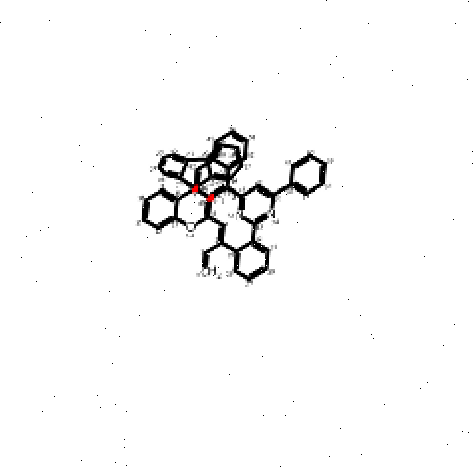 C=C/C(=C\C1=C(C)C2(c3ccccc3O1)c1ccccc1-c1ccccc12)c1ccccc1-c1nc(-c2ccccc2)cc(-c2cccc3ccccc23)n1